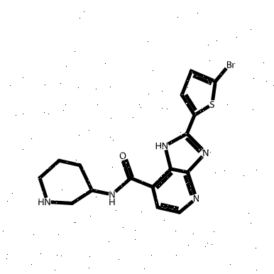 O=C(NC1CCCNC1)c1ccnc2nc(-c3ccc(Br)s3)[nH]c12